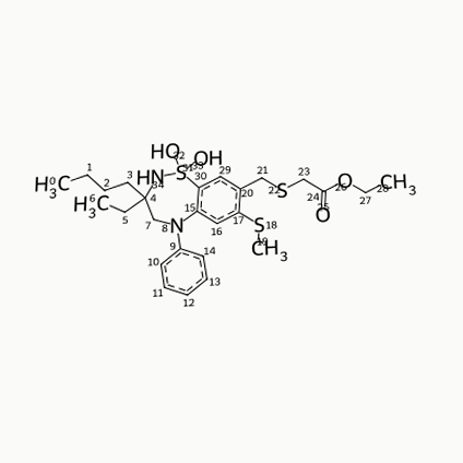 CCCCC1(CC)CN(c2ccccc2)c2cc(SC)c(CSCC(=O)OCC)cc2S(O)(O)N1